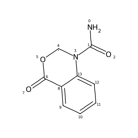 NC(=O)N1[CH]OC(=O)c2ccccc21